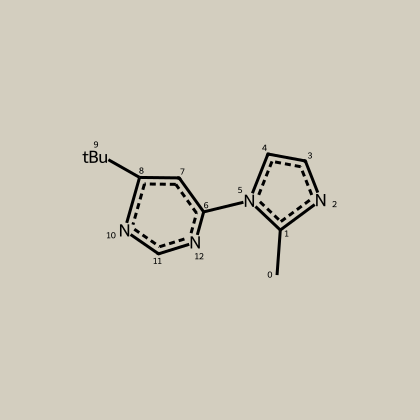 Cc1nccn1-c1cc(C(C)(C)C)ncn1